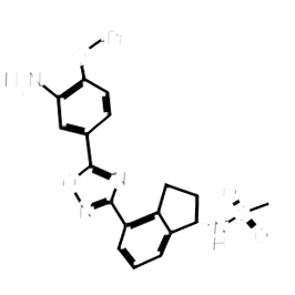 CC(C)Oc1ccc(-c2nc(-c3cccc4c3CC[C@@H]4NS(C)(=O)=O)no2)cc1N